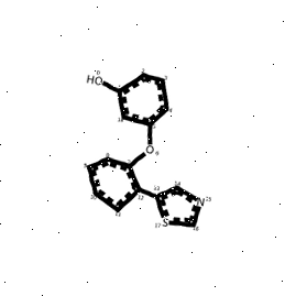 Oc1cccc(Oc2ccccc2-c2cncs2)c1